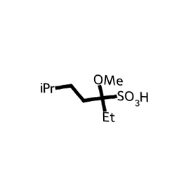 CCC(CCC(C)C)(OC)S(=O)(=O)O